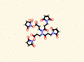 O=C(CCN(C(=O)CCN1C(=O)C=CC1=O)N(CCC(=O)ON1C(=O)CCC1O)C(=O)CCN1C(=O)C=CC1=O)ON1C(=O)CCC1=O